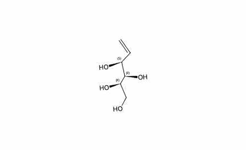 C=C[C@H](O)[C@@H](O)[C@H](O)CO